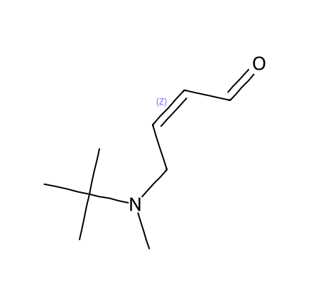 CN(C/C=C\C=O)C(C)(C)C